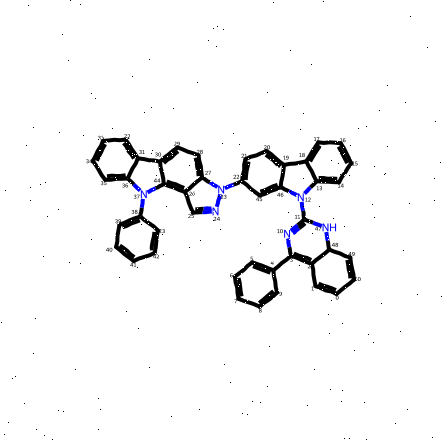 C1=CC2=C(c3ccccc3)N=C(n3c4ccccc4c4ccc(-n5ncc6c5ccc5c7ccccc7n(-c7ccccc7)c56)cc43)NC2C=C1